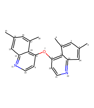 Cc1cc(C)c2c(Oc3ccnc4cc(C)cc(C)c34)ccnc2c1